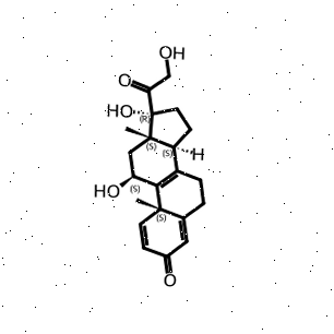 C[C@]12C=CC(=O)C=C1CCC1=C2[C@@H](O)C[C@@]2(C)[C@H]1CC[C@]2(O)C(=O)CO